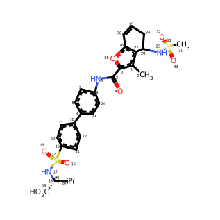 Cc1c(C(=O)Nc2ccc(-c3ccc(S(=O)(=O)N[C@@H](C(=O)O)C(C)C)cc3)cc2)oc2c1C(NS(C)(=O)=O)CC=C2